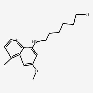 COc1cc(NCCCCCCCl)c2nccc(C)c2c1